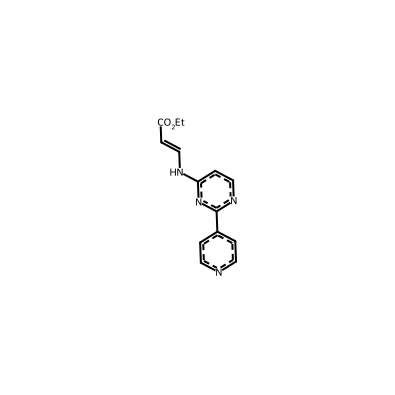 CCOC(=O)C=CNc1ccnc(-c2ccncc2)n1